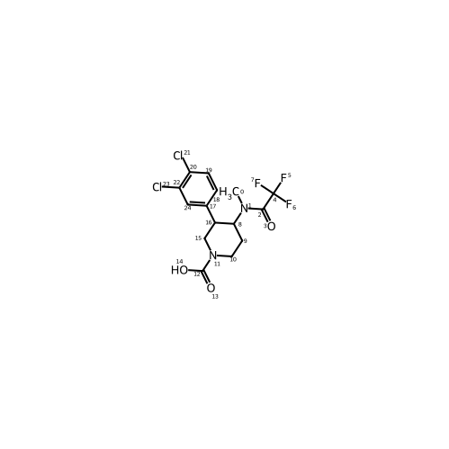 CN(C(=O)C(F)(F)F)C1CCN(C(=O)O)CC1c1ccc(Cl)c(Cl)c1